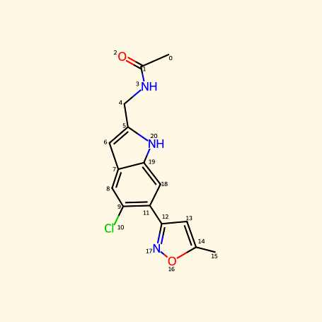 CC(=O)NCc1cc2cc(Cl)c(-c3cc(C)on3)cc2[nH]1